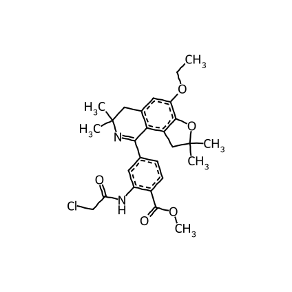 CCOc1cc2c(c3c1OC(C)(C)C3)C(c1ccc(C(=O)OC)c(NC(=O)CCl)c1)=NC(C)(C)C2